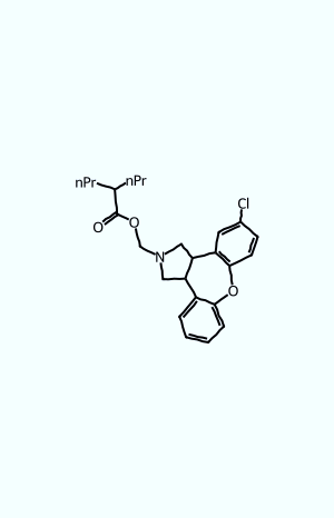 CCCC(CCC)C(=O)OCN1CC2c3ccccc3Oc3ccc(Cl)cc3C2C1